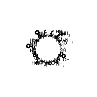 CCCC[C@H]1C(=O)N(C)[C@@H](CCCC)C(=O)N[C@@H](CCCNC(=N)N)C(=O)NC(C(=O)NCC(N)=O)CSCC(=O)N[C@@H](Cc2ccc(O)cc2)C(=O)N(C)[C@@H](C)C(=O)N[C@@H](CC(N)=O)C(=O)N2CCC[C@H]2C(=O)N[C@@H](CO)C(=O)N[C@@H](CCO)C(=O)N2CCC[C@H]2C(=O)N[C@@H](Cc2c[nH]c3ccccc23)C(=O)N[C@@H](CO)C(=O)N[C@@H](Cc2c[nH]c3ccccc23)C(=O)N1C